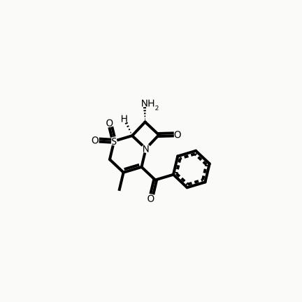 CC1=C(C(=O)c2ccccc2)N2C(=O)[C@@H](N)[C@@H]2S(=O)(=O)C1